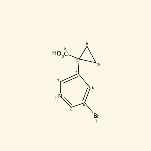 O=C(O)C1(c2cncc(Br)c2)CC1